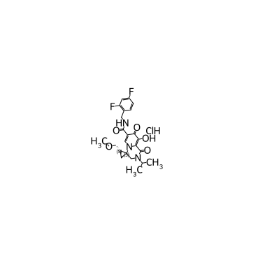 COC[C@H]1C[C@@]12CN(C(C)C)C(=O)c1c(O)c(=O)c(C(=O)NCc3ccc(F)cc3F)cn12.Cl